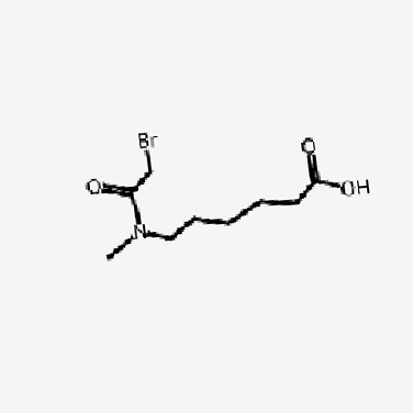 CN(CCCCCC(=O)O)C(=O)CBr